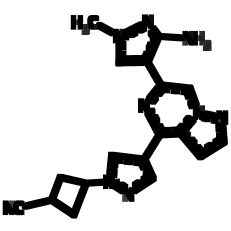 Cn1cc(-c2cn3nccc3c(-c3cnn(C4CC(C#N)C4)c3)n2)c(N)n1